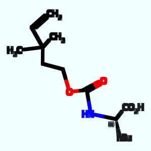 C=CC(C)(C)CCOC(=O)N[C@@H](CCCC)C(=O)O